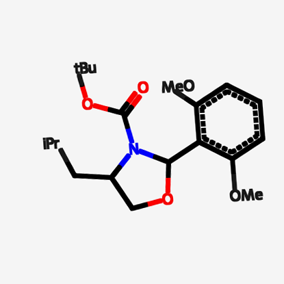 COc1cccc(OC)c1C1OCC(CC(C)C)N1C(=O)OC(C)(C)C